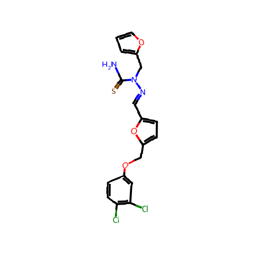 NC(=S)N(Cc1ccco1)N=Cc1ccc(COc2ccc(Cl)c(Cl)c2)o1